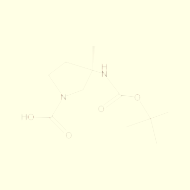 CC(C)(C)OC(=O)N[C@]1(C)CCN(C(=O)O)C1